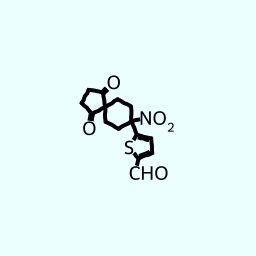 O=Cc1ccc(C2([N+](=O)[O-])CCC3(CC2)C(=O)CCC3=O)s1